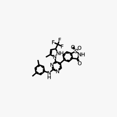 CC1=CC(C(F)(F)F)NN1c1nc(Nc2cc(C)cc(C)c2)ncc1-c1ccc2c(c1)C(=O)NS2(=O)=O